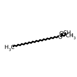 CCCCCCCCCCCCCCCCCCCCCCCCCCOC(=O)CC(C)C